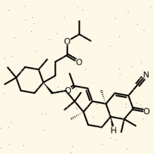 CC(=O)/C=C1/[C@@]2(C)C=C(C#N)C(=O)C(C)(C)[C@@H]2CC[C@@]1(C)C(C)(C)CC[C@@]1(CCC(=O)OC(C)C)CCC(C)(C)CC1C